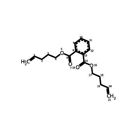 C=CCCCOC(=O)c1ccccc1C(=O)OCCCC=C